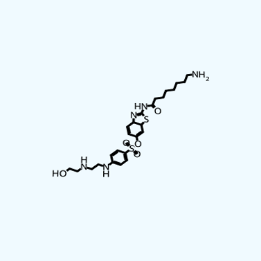 NCCCCCCCC(=O)NC1=NC2C=CC(OS(=O)(=O)c3ccc(NCCNCCO)cc3)=CC2S1